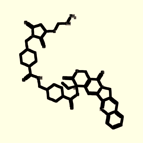 CC[C@@]1(OC(=O)C2CCC(CNC(=O)C3CCC(CN4C(=O)CC(SCPP)C4=O)CC3)CC2)C(=O)OCc2c1cc1n(c2=O)Cc2cc3ccccc3nc2-1